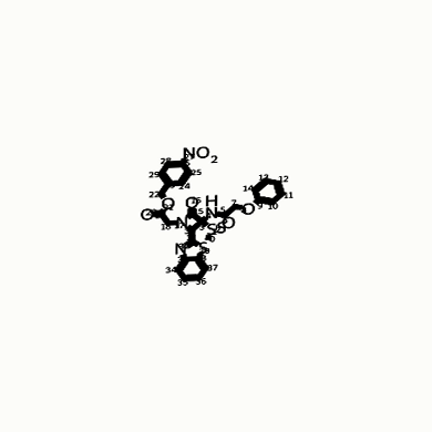 CS(=S)C1(NC(=O)COc2ccccc2)C(=O)N(CC(=O)OCc2ccc([N+](=O)[O-])cc2)C1c1nc2ccccc2s1